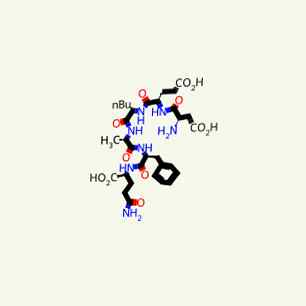 CCCC[C@H](NC(=O)[C@H](CCC(=O)O)NC(=O)[C@@H](N)CC(=O)O)C(=O)N[C@@H](C)C(=O)N[C@@H](Cc1ccccc1)C(=O)N[C@@H](CCC(N)=O)C(=O)O